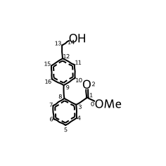 COC(=O)c1ccccc1-c1ccc(CO)cc1